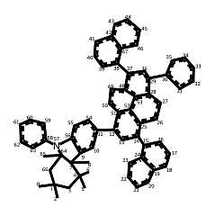 CC1(C)CC(C)(C)C2(C)c3cc(-c4cc(-c5cccc6ccccc56)c5ccc6c(-c7ccccc7)cc(-c7cccc8ccccc78)c7ccc4c5c67)ccc3N(c3ccccc3)C2(C)C1